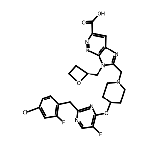 O=C(O)c1cc2nc(CN3CCC(Oc4nc(Cc5ccc(Cl)cc5F)ncc4F)CC3)n(C[C@@H]3CCO3)c2nn1